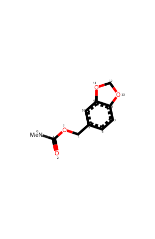 CNC(=O)OCc1ccc2c(c1)OCO2